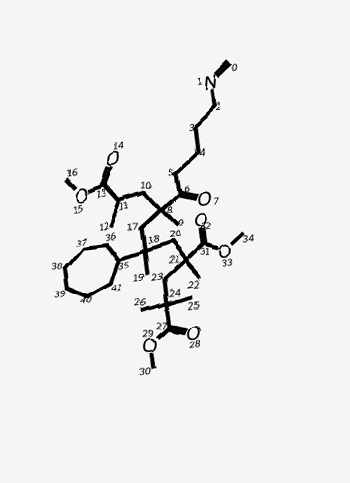 C=NCCCCC(=O)C(C)(CC(C)C(=O)OC)CC(C)(CC(C)(CC(C)(C)C(=O)OC)C(=O)OC)C1CCCCCC1